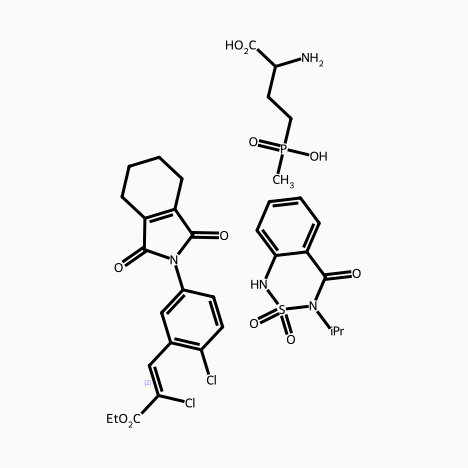 CC(C)N1C(=O)c2ccccc2NS1(=O)=O.CCOC(=O)/C(Cl)=C/c1cc(N2C(=O)C3=C(CCCC3)C2=O)ccc1Cl.CP(=O)(O)CCC(N)C(=O)O